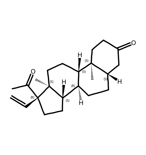 C=C[C@]1(C(C)=O)CC[C@H]2[C@@H]3CC[C@H]4CC(=O)CC[C@]4(C)[C@H]3CC[C@@]21C